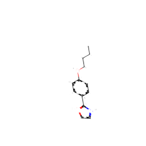 CCCCOc1ccc(-c2ncco2)cc1